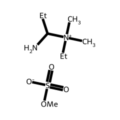 CCC(N)[N+](C)(C)CC.COS(=O)(=O)[O-]